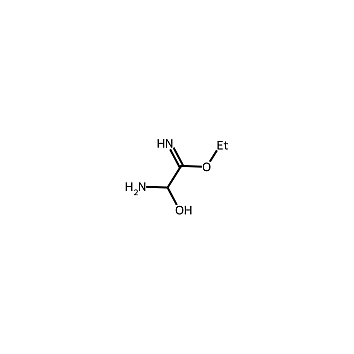 CCOC(=N)C(N)O